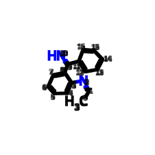 C/C=N\c1ccccc1C(=N)c1ccccc1